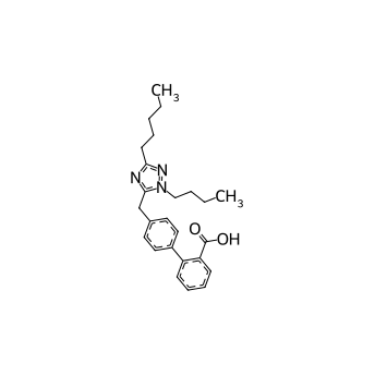 CCCCCc1nc(Cc2ccc(-c3ccccc3C(=O)O)cc2)n(CCCC)n1